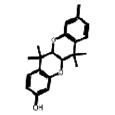 Cc1ccc2c(c1)OC1C(Oc3cc(O)ccc3C1(C)C)C2(C)C